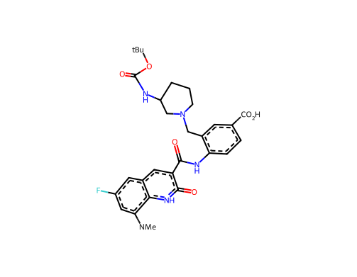 CNc1cc(F)cc2cc(C(=O)Nc3ccc(C(=O)O)cc3CN3CCCC(NC(=O)OC(C)(C)C)C3)c(=O)[nH]c12